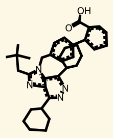 CC(C)(C)Cc1nc2c(C3CCCCC3)nnc(C3CCCCC3)c2n1Cc1ccc(-c2ccccc2C(=O)O)cc1